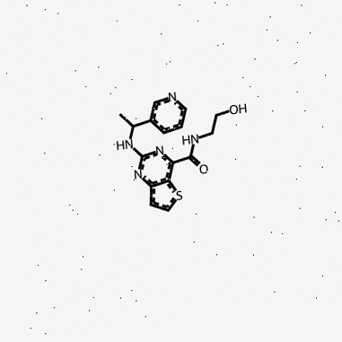 CC(Nc1nc(C(=O)NCCO)c2sccc2n1)c1cccnc1